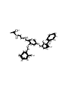 CC(=O)NCCNCc1ccc(OCc2cccc(-c3ccccc3)c2C)cc1OCc1cc(F)ccc1F